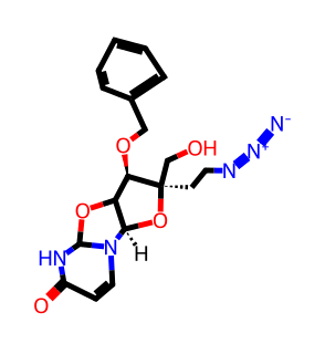 [N-]=[N+]=NCC[C@]1(CO)O[C@@H]2C(OC3NC(=O)C=CN32)[C@H]1OCc1ccccc1